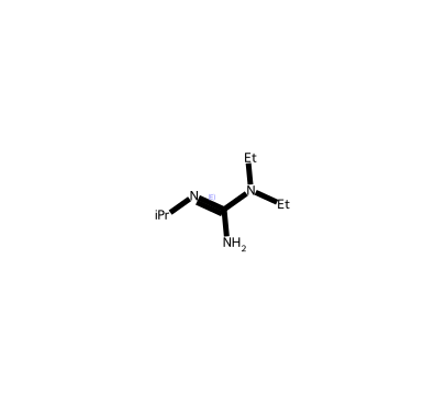 CCN(CC)/C(N)=N/C(C)C